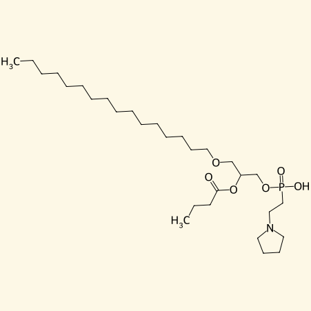 CCCCCCCCCCCCCCCCOCC(COP(=O)(O)CCN1CCCC1)OC(=O)CCC